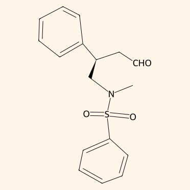 CN(C[C@H](CC=O)c1ccccc1)S(=O)(=O)c1ccccc1